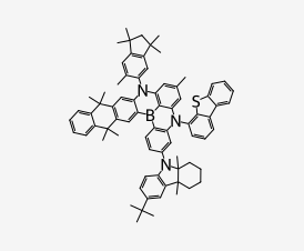 Cc1cc2c3c(c1)N(c1cccc4c1sc1ccccc14)c1cc(N4c5ccc(C(C)(C)C)cc5C5(C)CCCCC45C)ccc1B3c1cc3c(cc1N2c1cc2c(cc1C)C(C)(C)CC2(C)C)C(C)(C)c1ccccc1C3(C)C